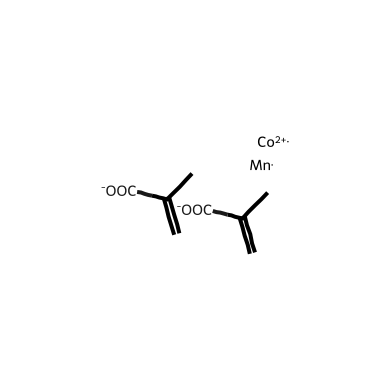 C=C(C)C(=O)[O-].C=C(C)C(=O)[O-].[Co+2].[Mn]